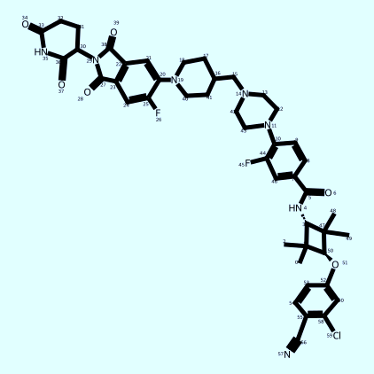 CC1(C)[C@H](NC(=O)c2ccc(N3CCN(CC4CCN(c5cc6c(cc5F)C(=O)N(C5CCC(=O)NC5=O)C6=O)CC4)CC3)c(F)c2)C(C)(C)[C@H]1Oc1ccc(C#N)c(Cl)c1